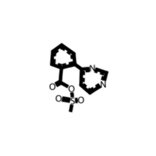 CS(=O)(=O)OC(=O)c1ccccc1-c1ccncn1